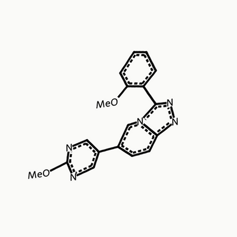 COc1ncc(-c2ccc3nnc(-c4ccccc4OC)n3c2)cn1